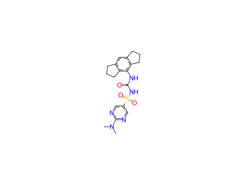 CN(C)c1ncc(S(=O)(=O)NC(=O)Nc2c3c(cc4c2CCC4)CCC3)cn1